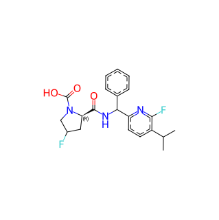 CC(C)c1ccc(C(NC(=O)[C@H]2CC(F)CN2C(=O)O)c2ccccc2)nc1F